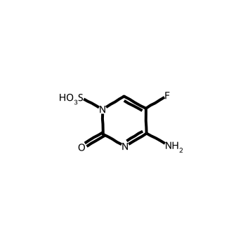 Nc1nc(=O)n(S(=O)(=O)O)cc1F